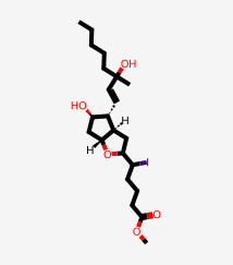 CCCCCC(C)(O)/C=C/[C@@H]1[C@H]2CC(C(I)CCCC(=O)OC)O[C@@H]2C[C@H]1O